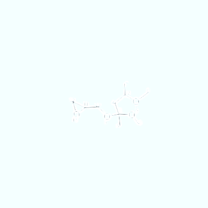 CO[C](C)CC(C)(OC)OCC1CO1